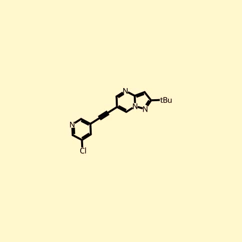 CC(C)(C)c1cc2ncc(C#Cc3cncc(Cl)c3)cn2n1